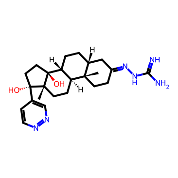 C[C@]12CCC(=NNC(=N)N)C[C@H]1CC[C@@H]1[C@@H]2CC[C@]2(C)[C@@](O)(c3ccnnc3)CC[C@]12O